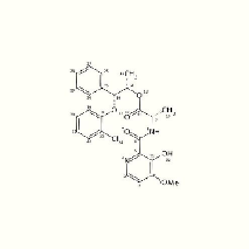 COc1ccnc(C(=O)N[C@@H](C)C(=O)O[C@@H](C)[C@H](Oc2ccccc2Cl)c2ccccc2)c1O